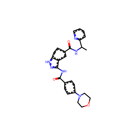 CC(NC(=O)c1ccc2[nH]nc(NC(=O)c3ccc(N4CCOCC4)cc3)c2c1)c1ccccn1